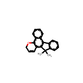 CC1(C)c2ccccc2-c2c1c1c(c3ccccc23)OCC=C1